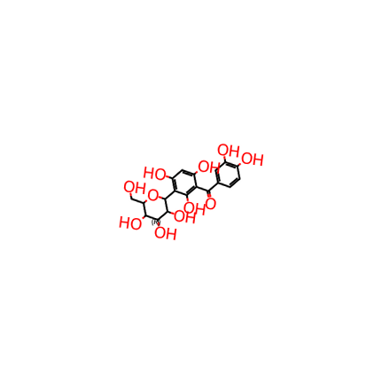 O=C(c1ccc(O)c(O)c1)c1c(O)cc(O)c(C2OC(CO)C(O)[C@H](O)C2O)c1O